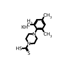 Cc1cc(C)c(N2CCN(C(=S)S)CC2)c(C)c1.[KH]